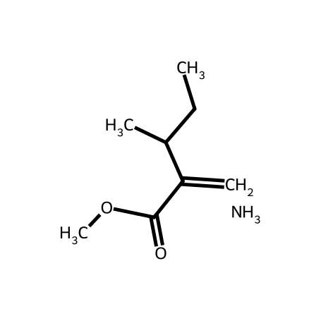 C=C(C(=O)OC)C(C)CC.N